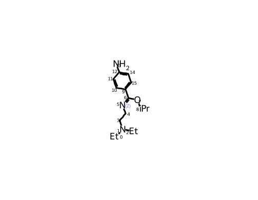 CCN(CC)CC/N=C(\OC(C)C)c1ccc(N)cc1